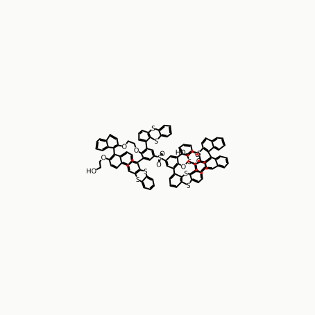 O=S(=O)(c1cc(-c2cccc3c2Sc2ccccc2S3)c(OCCOc2ccc3ccccc3c2-c2c(OCCO)ccc3ccccc23)c(-c2cccc3c2Sc2ccccc2S3)c1)c1cc(-c2cccc3c2Sc2ccccc2S3)c(OCCOc2ccc3ccccc3c2-c2c(OCCO)ccc3ccccc23)c(-c2cccc3c2Sc2ccccc2S3)c1